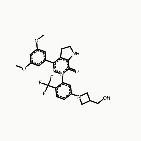 COc1cc(OC)cc(-c2nn(-c3cc(N4CC(CO)C4)ccc3C(F)(F)F)c(=O)c3c2CCN3)c1